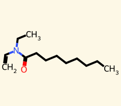 C=CN(CC)C(=O)CCCCCCCC